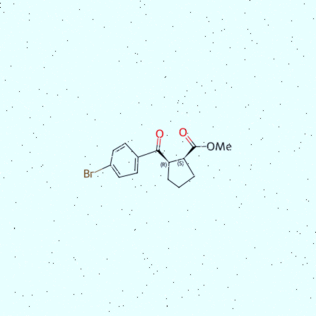 COC(=O)[C@H]1CCC[C@H]1C(=O)c1ccc(Br)cc1